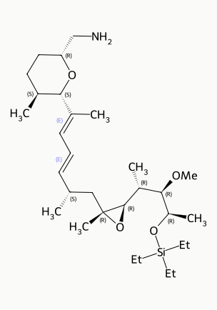 CC[Si](CC)(CC)O[C@H](C)[C@H](OC)[C@@H](C)[C@H]1O[C@]1(C)C[C@H](C)/C=C/C=C(\C)[C@H]1O[C@@H](CN)CC[C@@H]1C